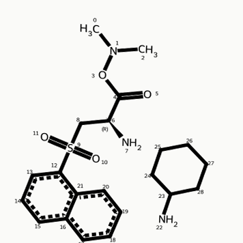 CN(C)OC(=O)[C@@H](N)CS(=O)(=O)c1cccc2ccccc12.NC1CCCCC1